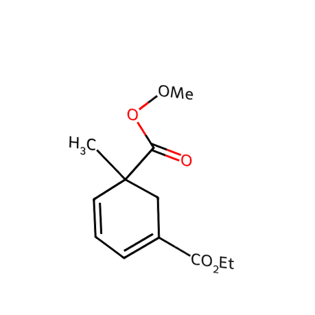 CCOC(=O)C1=CC=CC(C)(C(=O)OOC)C1